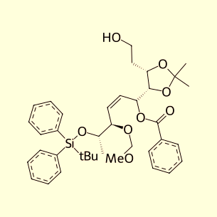 COCO[C@H](/C=C\C(OC(=O)c1ccccc1)[C@H]1OC(C)(C)O[C@H]1CCO)[C@H](C)O[Si](c1ccccc1)(c1ccccc1)C(C)(C)C